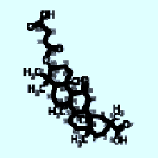 CC12CC[C@](C)(C(=O)O)CC1C1=CC(=O)C3[C@@]4(C)CC[C@H](OC(=O)CCC(=O)O)C(C)(C)C4CC[C@@]3(C)[C@]1(C)CC2